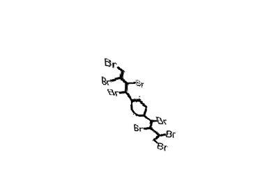 BrCC(Br)C(Br)C(Br)C1[CH]CC(C(Br)C(Br)C(Br)CBr)[CH]C1